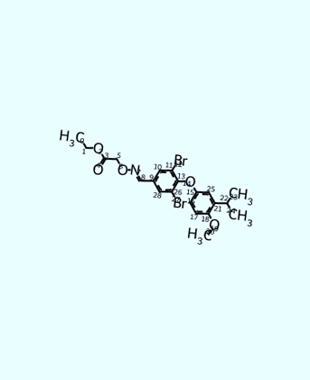 CCOC(=O)CON=Cc1cc(Br)c(Oc2ccc(OC)c(C(C)C)c2)c(Br)c1